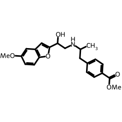 COC(=O)c1ccc(CC(C)NCC(O)c2cc3cc(OC)ccc3o2)cc1